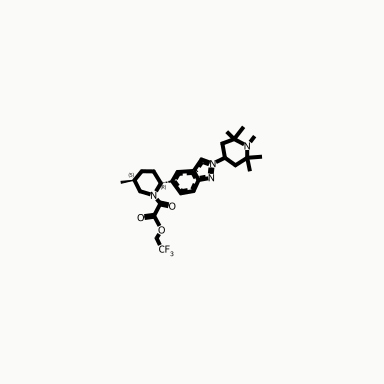 C[C@H]1CC[C@H](c2ccc3nn(C4CC(C)(C)N(C)C(C)(C)C4)cc3c2)N(C(=O)C(=O)OCC(F)(F)F)C1